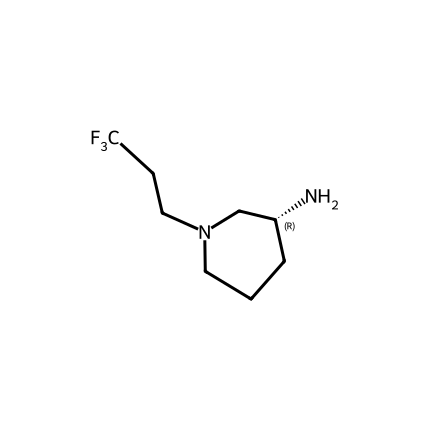 N[C@@H]1CCCN(CCC(F)(F)F)C1